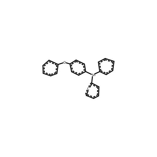 c1ccc(Oc2cc[c]([Sn]([c]3ccccc3)[c]3ccccc3)cc2)cc1